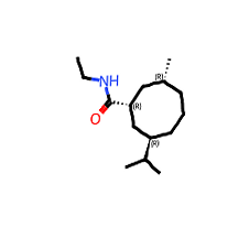 CCNC(=O)[C@@H]1C[C@H](C)CCC[C@@H](C(C)C)C1